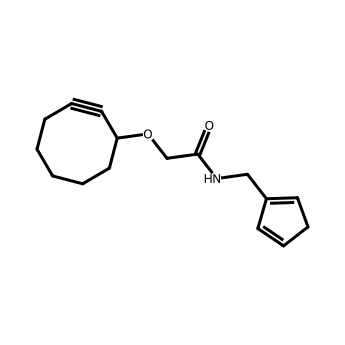 O=C(COC1C#CCCCCC1)NCC1=CCC=C1